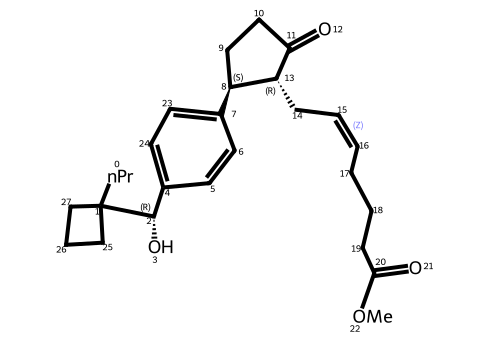 CCCC1([C@@H](O)c2ccc([C@H]3CCC(=O)[C@@H]3C/C=C\CCCC(=O)OC)cc2)CCC1